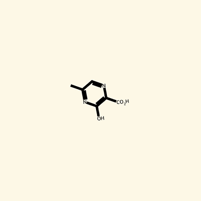 Cc1cnc(C(=O)O)c(O)n1